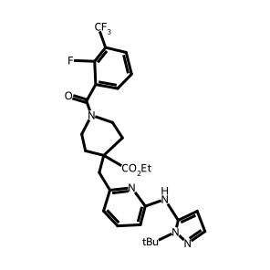 CCOC(=O)C1(Cc2cccc(Nc3ccnn3C(C)(C)C)n2)CCN(C(=O)c2cccc(C(F)(F)F)c2F)CC1